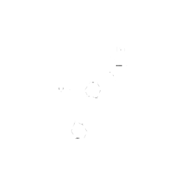 COc1cc2c(cc1OCc1ccccc1)CCN(C(=O)OC(C)(C)C)C2C(=O)O